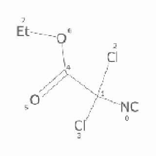 [C-]#[N+]C(Cl)(Cl)C(=O)OCC